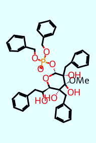 CO[C@]1(O)[C@@](O)(Cc2ccccc2)[C@@H](C(O)Cc2ccccc2)O[C@H](OP(=O)(OCc2ccccc2)OCc2ccccc2)[C@@]1(O)Cc1ccccc1